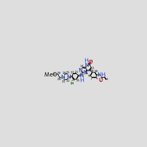 C=CC(=O)Nc1cccc(-c2cc(=O)[nH]c3cnc(Nc4ccc(N5CCN(CCOC)CC5)c(F)c4)nc23)c1